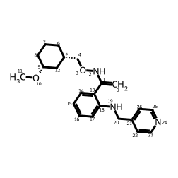 C=C(NOC[C@H]1CCC[C@@H](OC)C1)c1ccccc1NCc1ccncc1